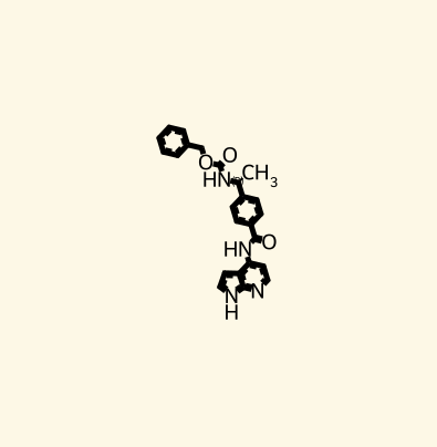 C[C@@H](NC(=O)OCc1ccccc1)c1ccc(C(=O)Nc2ccnc3[nH]ccc23)cc1